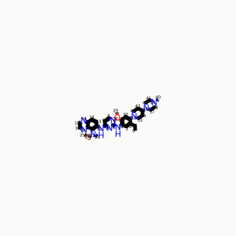 CCc1cc(Nc2nccc(Nc3ccc4nccnc4c3N(C)SC)n2)c(OC)cc1N1CCC(N2CCN(C)CC2)CC1